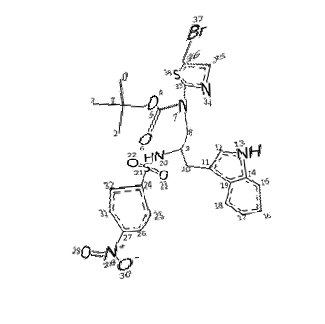 CC(C)(C)OC(=O)N(CC(Cc1c[nH]c2ccccc12)NS(=O)(=O)c1ccc([N+](=O)[O-])cc1)c1ncc(Br)s1